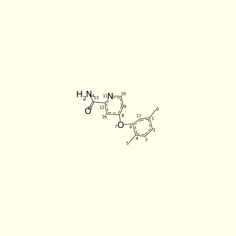 Cc1ccc(C)c(Oc2ccnc(C(N)=O)c2)c1